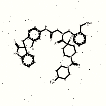 CCC1(C(=O)N(CC(=O)Nc2ccc3c(c2)C[C@@]2(C3)C(=O)Nc3ncccc32)Cc2ccccc2CNC)CCN(C(=O)N2CCC(C(F)(F)F)CC2)CC1